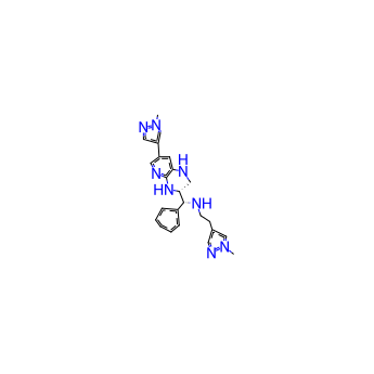 Cn1cc(CCN[C@H](c2ccccc2)[C@H]2CNc3cc(-c4cnn(C)c4)cnc3N2)cn1